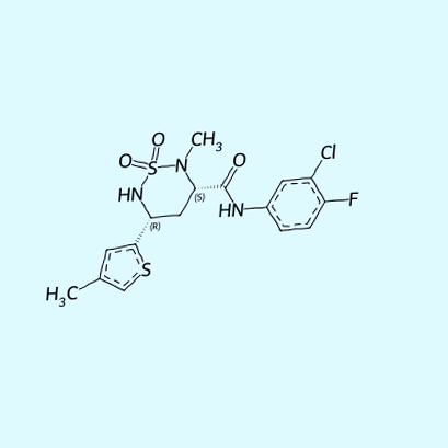 Cc1csc([C@H]2C[C@@H](C(=O)Nc3ccc(F)c(Cl)c3)N(C)S(=O)(=O)N2)c1